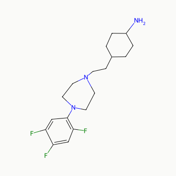 NC1CCC(CCN2CCN(c3cc(F)c(F)cc3F)CC2)CC1